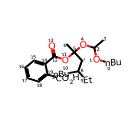 CCCCOC(C)OC(C)(CC(CC)CCCC)OC(=O)c1ccccc1C(=O)O